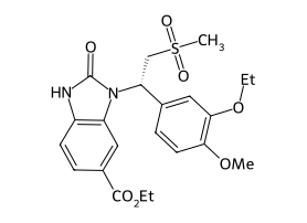 CCOC(=O)c1ccc2[nH]c(=O)n([C@H](CS(C)(=O)=O)c3ccc(OC)c(OCC)c3)c2c1